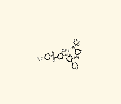 C=CC(=O)Nc1cccc(Nc2nc(Nc3ccc(C(=O)NC4CCN(C)CC4)cc3OC)ncc2C2=CCOCC2)c1